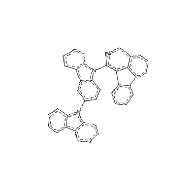 c1ccc2c(c1)-c1cccc3cnc(-n4c5ccccc5c5cc(-n6c7ccccc7c7ccccc76)ccc54)c-2c13